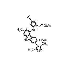 COCCn1nc(C2CC2)cc1Nc1nc(C)nc2[nH]c3cc(-c4c(C)noc4C)c(OC)cc3c12